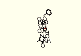 Cc1cn([C@@H]2O[C@@]34CO[C@@H]2[C@@H]3OP(=O)(C(=O)OCc2ccccc2)OC4)c(=O)[nH]c1=O